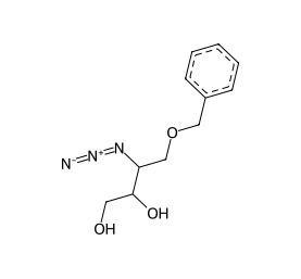 [N-]=[N+]=NC(COCc1ccccc1)C(O)CO